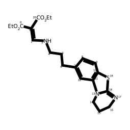 CCOC(=O)C(=CNCCCc1ccc2c(c1)N1CCCN=C1S2)C(=O)OCC